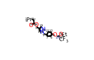 CCO/C(=C\Oc1ccc(Cn2cc(COC(=O)CC(C)C)cn2)cc1)C(F)(F)F